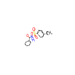 Cc1ccc(S(=O)(=O)ONC(=O)c2ccccc2)cc1